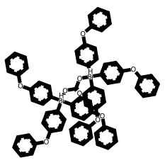 O=C([O][BiH]([c]1ccc(Oc2ccccc2)cc1)([c]1ccc(Oc2ccccc2)cc1)[c]1ccc(Oc2ccccc2)cc1)[O][BiH]([c]1ccc(Oc2ccccc2)cc1)([c]1ccc(Oc2ccccc2)cc1)[c]1ccc(Oc2ccccc2)cc1